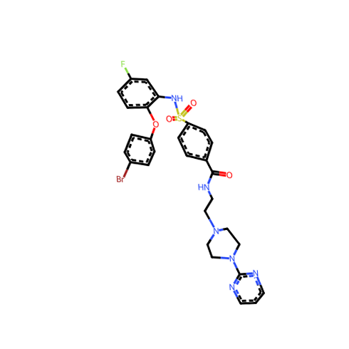 O=C(NCCN1CCN(c2ncccn2)CC1)c1ccc(S(=O)(=O)Nc2cc(F)ccc2Oc2ccc(Br)cc2)cc1